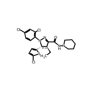 CC[C@@H]1C(C(=O)NN2CCCCC2)=NN(c2ccc(Cl)cc2Cl)[C@H]1c1ccc(Cl)s1